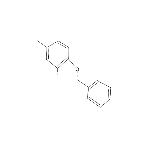 Cc1ccc(OCc2[c]cccc2)c(C)c1